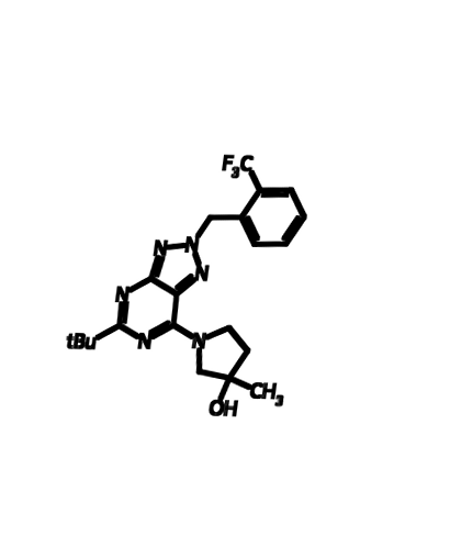 CC1(O)CCN(c2nc(C(C)(C)C)nc3nn(Cc4ccccc4C(F)(F)F)nc23)C1